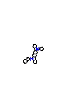 c1ccc(-n2c3ccccc3c3cc4cc5c(cc4cc32)c2ccccc2n5-c2ccc3ccccc3c2)cc1